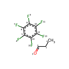 CCC=O.Fc1c(F)c(F)c(F)c(F)c1F